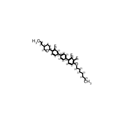 C/C=C/C1CCC(c2ccc(-c3ccc(-c4ccc(OCCCCCCC)c(F)c4F)cc3)cc2F)OC1